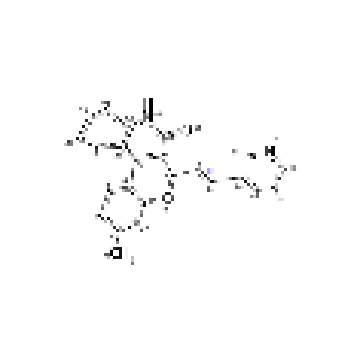 Cc1ccc(-c2c(C(=O)/C=C/c3cncnc3)c(=O)[nH]c3ccccc23)cc1